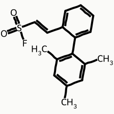 Cc1cc(C)c(-c2ccccc2C=CS(=O)(=O)F)c(C)c1